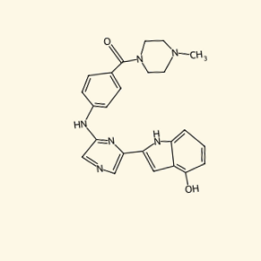 CN1CCN(C(=O)c2ccc(Nc3cncc(-c4cc5c(O)cccc5[nH]4)n3)cc2)CC1